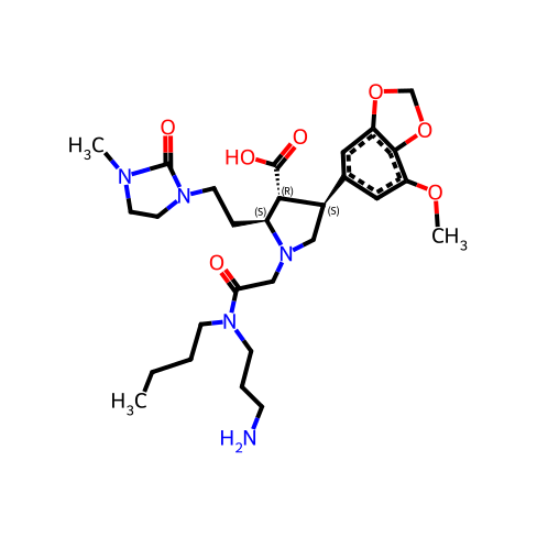 CCCCN(CCCN)C(=O)CN1C[C@H](c2cc(OC)c3c(c2)OCO3)[C@@H](C(=O)O)[C@@H]1CCN1CCN(C)C1=O